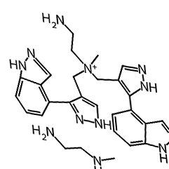 CNCCN.C[N+](CCN)(Cc1c[nH]nc1-c1cccc2[nH]ncc12)Cc1cn[nH]c1-c1cccc2[nH]ncc12